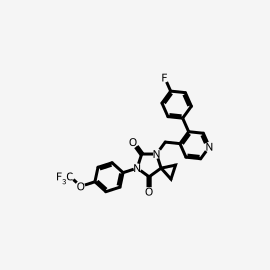 O=C1N(c2ccc(OC(F)(F)F)cc2)C(=O)C2(CC2)N1Cc1ccncc1-c1ccc(F)cc1